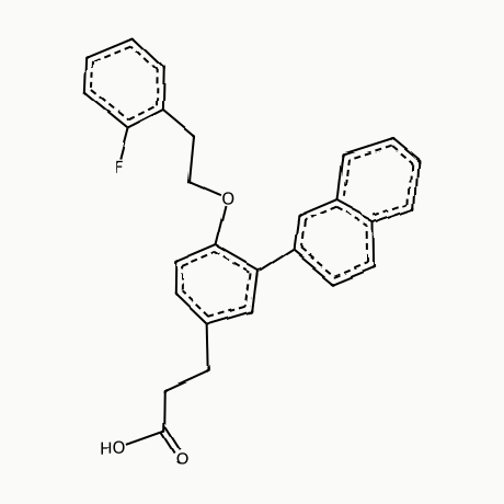 O=C(O)CCc1ccc(OCCc2ccccc2F)c(-c2ccc3ccccc3c2)c1